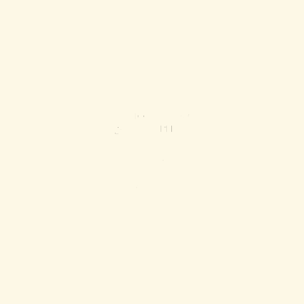 CCC[PH](=O)O.[Zn]